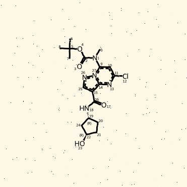 CN(C(=O)OC(C)(C)C)c1cc(Cl)nc2c(C(=O)N[C@@H]3CC[C@@H](O)C3)cnn12